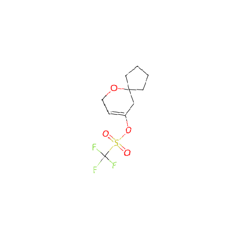 O=S(=O)(OC1=CCOC2(CCCC2)C1)C(F)(F)F